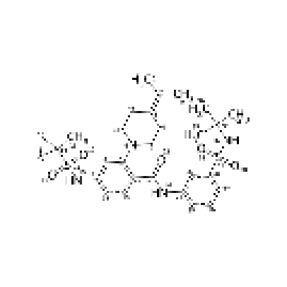 CC(C)=C1CCN(c2cc(NS(=O)(=O)C3(C)CC3)ccc2C(=O)Nc2cccc(S(=O)(=O)NC(C)(C)C)c2)CC1